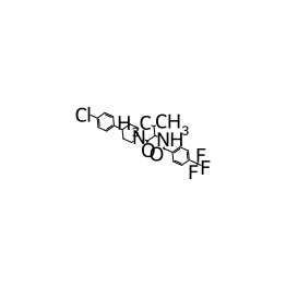 CC(C)C(NC(=O)c1ccc(C(F)(F)F)cc1)C(=O)N1CCC(c2ccc(Cl)cc2)CC1